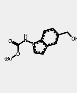 CC(C)(C)OC(=O)Nn1ccc2cc(CO)ccc21